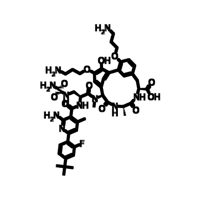 Cc1cc(-c2ccc(C(C)(C)C)cc2F)nc(N)c1C(=O)N[C@@H](CNS(N)(=O)=O)C(=O)N(C)[C@@H]1C(=O)N[C@@H](C)C(=O)N[C@H](C(=O)O)Cc2ccc(OCCCN)c(c2)-c2cc1cc(OCCCN)c2O